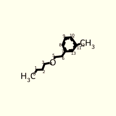 CCCCOCCc1cc[c]c(C)c1